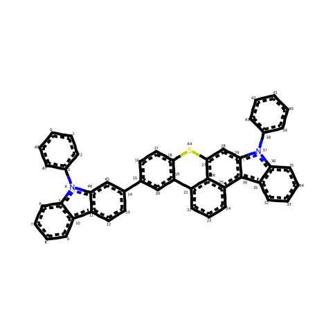 c1ccc(-n2c3ccccc3c3ccc(-c4ccc5c(c4)-c4cccc6c4c(cc4c6c6ccccc6n4-c4ccccc4)S5)cc32)cc1